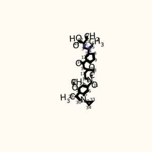 C=C/C(=C\C(=C/C)c1ccc2c(c1)C(=O)CC1(CCN(C(=O)c3cc(OC)c4c(C)cn(C5CC5)c4c3)CC1)O2)C(=O)O